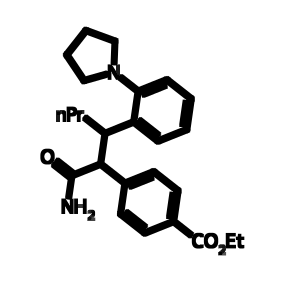 CCCC(c1ccccc1N1CCCC1)C(C(N)=O)c1ccc(C(=O)OCC)cc1